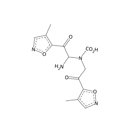 Cc1cnoc1C(=O)CN(C(=O)O)C(N)C(=O)c1oncc1C